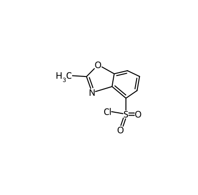 Cc1nc2c(S(=O)(=O)Cl)cccc2o1